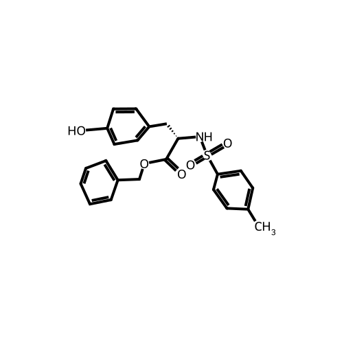 Cc1ccc(S(=O)(=O)N[C@@H](Cc2ccc(O)cc2)C(=O)OCc2ccccc2)cc1